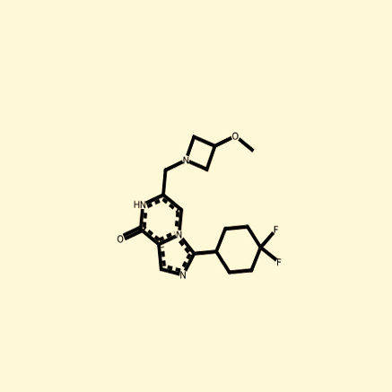 COC1CN(Cc2cn3c(C4CCC(F)(F)CC4)ncc3c(=O)[nH]2)C1